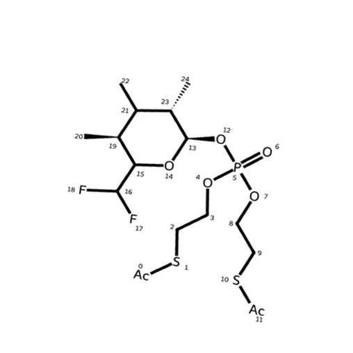 CC(=O)SCCOP(=O)(OCCSC(C)=O)O[C@H]1OC(C(F)F)[C@@H](C)C(C)[C@@H]1C